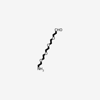 NCCOCCOCCOCCOCCC=O